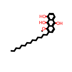 CCCCCCCCCCCCCCc1ccc2c(O)c3cccc(O)c3c(O)c2c1OC